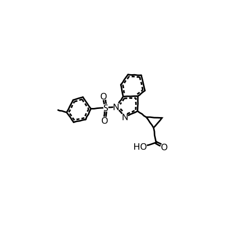 Cc1ccc(S(=O)(=O)n2nc(C3CC3C(=O)O)c3ccccc32)cc1